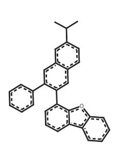 CC(C)c1ccc2cc(-c3cccc4c3oc3ccccc34)c(-c3ccccc3)cc2c1